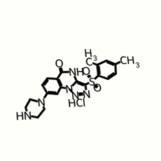 Cc1ccc(S(=O)(=O)c2nnn3c2[nH]c(=O)c2ccc(N4CCNCC4)cc23)c(C)c1.Cl